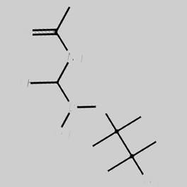 CC(=O)NC(Cl)B(O)OC(C)(C)C(C)(C)O